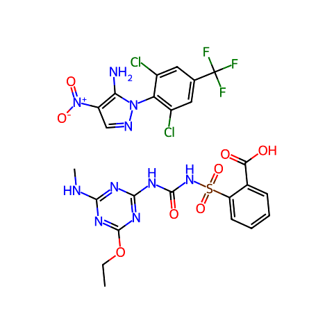 CCOc1nc(NC)nc(NC(=O)NS(=O)(=O)c2ccccc2C(=O)O)n1.Nc1c([N+](=O)[O-])cnn1-c1c(Cl)cc(C(F)(F)F)cc1Cl